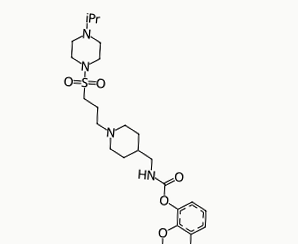 CC(C)N1CCN(S(=O)(=O)CCCN2CCC(CNC(=O)Oc3cccc4c3OCCO4)CC2)CC1